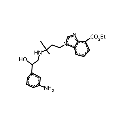 CCOC(=O)c1cccc2c1ncn2CCC(C)(C)NCC(O)c1cccc(N)c1